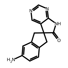 Nc1ccc2c(c1)CC1(C2)C(=O)Nc2ncncc21